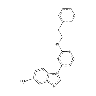 O=[N+]([O-])c1ccc2c(c1)ncn2-c1ccnc(NCCc2ccccc2)n1